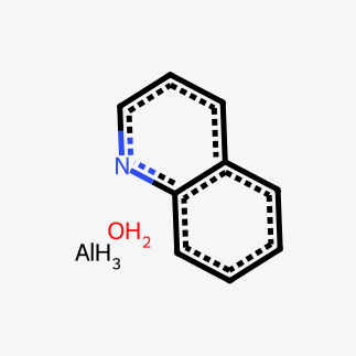 O.[AlH3].c1ccc2ncccc2c1